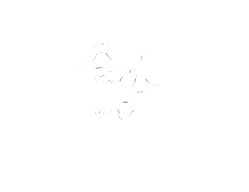 COc1cc(-c2cc(F)cc(C(C)C)c2CC(=O)NS(=O)(=O)c2ccc(C(=O)[O-])c(Cl)c2)ccn1.[K+]